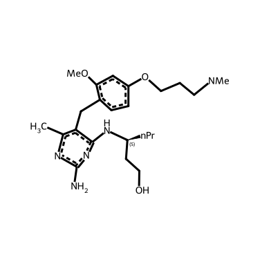 CCC[C@@H](CCO)Nc1nc(N)nc(C)c1Cc1ccc(OCCCNC)cc1OC